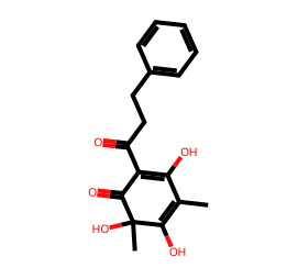 CC1=C(O)C(C)(O)C(=O)C(C(=O)CCc2ccccc2)=C1O